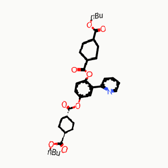 CCCCOC(=O)C1CCC(C(=O)Oc2ccc(OC(=O)[C@H]3CC[C@H](C(=O)OCCCC)CC3)cc2-c2ccccn2)CC1